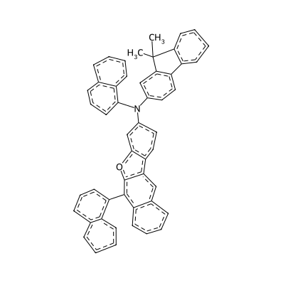 CC1(C)c2ccccc2-c2ccc(N(c3ccc4c(c3)oc3c(-c5cccc6ccccc56)c5ccccc5cc34)c3cccc4ccccc34)cc21